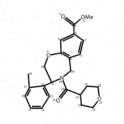 COC(=O)c1ccc2c(c1)OCC(c1ccccc1C)N(C(=O)C1CCOCC1)C2